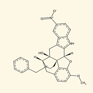 COc1ccc2c3c1O[C@H]1c4[nH]c5ccc([N+](=O)[O-])cc5c4C[C@@]4(O)[C@@H](C2)N(Cc2ccccc2)CC[C@]314